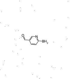 Bc1ccc(C=O)cn1